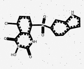 O=c1[nH]c2c(S(=O)(=O)c3ccc4cc[nH]c4c3)ccc(Cl)c2c(=O)n1O